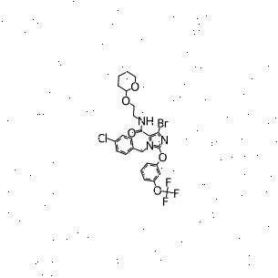 O=C(NCCOC1CCCCO1)c1c(Br)nc(Oc2cccc(OC(F)(F)F)c2)n1Cc1ccc(Cl)cc1